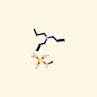 C=CCN(CC=C)CCC.COS(=O)(=O)O